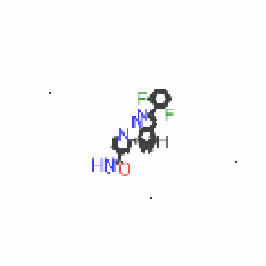 CNC(=O)c1ccnc([C@]23CC[C@@H](c4cc(-c5c(F)cccc5F)nnc42)C3(C)C)c1